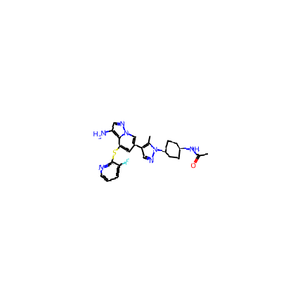 CC(=O)N[C@H]1CC[C@@H](n2ncc(-c3cc(Sc4ncccc4F)c4c(N)cnn4c3)c2C)CC1